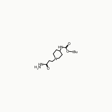 CC(C)(C)OC(=O)NC1CCN(CCC(=O)NN)CC1